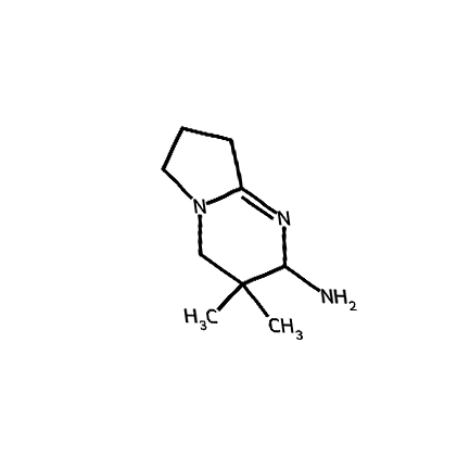 CC1(C)CN2CCCC2=NC1N